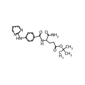 CC(C)(C)OC(=O)CCC(NC(=O)c1ccc(Nc2ncccn2)cc1)C(N)=O